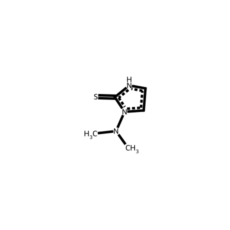 CN(C)n1cc[nH]c1=S